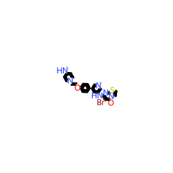 CNC1CCN(CCOc2ccc([C@H]3C[C@@H](Nc4nc5sccn5c(=O)c4Br)CN(C)C3)cc2)CC1